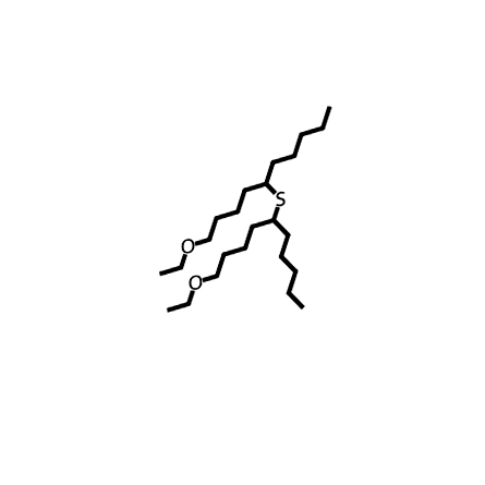 CCCCCC(CCCCOCC)SC(CCCCC)CCCCOCC